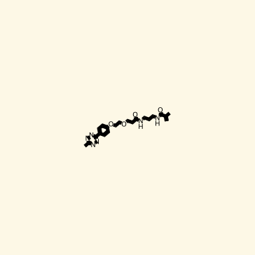 C=C(C)C(=O)NCCCNC(=O)CCOCCOc1ccc(-c2nnc(C)nn2)cc1